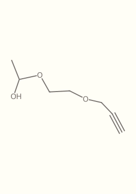 C#CCOCCOC(C)O